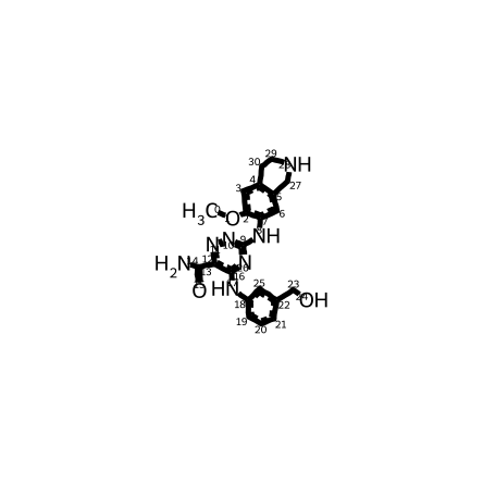 COc1cc2c(cc1Nc1nnc(C(N)=O)c(Nc3cccc(CO)c3)n1)CNCC2